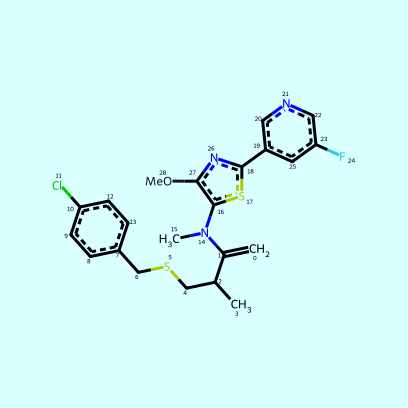 C=C(C(C)CSCc1ccc(Cl)cc1)N(C)c1sc(-c2cncc(F)c2)nc1OC